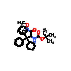 CON(C)C(=O)C(NC(=O)OC(C)(C)C)C(c1ccccc1)(c1ccccc1)c1ccccc1